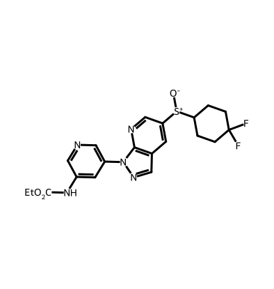 CCOC(=O)Nc1cncc(-n2ncc3cc([S+]([O-])C4CCC(F)(F)CC4)cnc32)c1